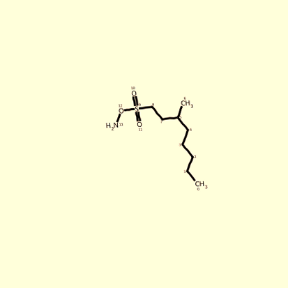 CCCCCC(C)CCS(=O)(=O)ON